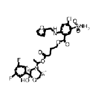 CC(OC(=O)CCCOC(=O)c1cc(S(N)(=O)=O)c(Cl)cc1NCc1ccco1)N1[C@H](C)CO[C@@](O)(c2cc(F)cc(F)c2)[C@@H]1C